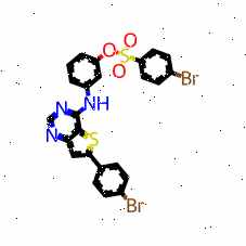 O=S(=O)(Oc1cccc(Nc2ncnc3cc(-c4ccc(Br)cc4)sc23)c1)c1ccc(Br)cc1